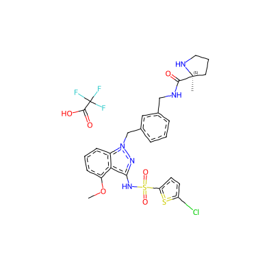 COc1cccc2c1c(NS(=O)(=O)c1ccc(Cl)s1)nn2Cc1cccc(CNC(=O)[C@]2(C)CCCN2)c1.O=C(O)C(F)(F)F